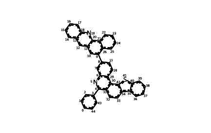 c1ccc(-c2nc3cc(-c4cc5cc6ccccc6nc5c5ccccc45)ccc3c3c2ccc2c4ccccc4sc23)cc1